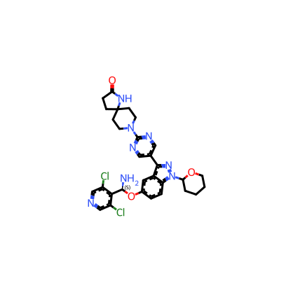 N[C@@H](Oc1ccc2c(c1)c(-c1cnc(N3CCC4(CCC(=O)N4)CC3)nc1)nn2C1CCCCO1)c1c(Cl)cncc1Cl